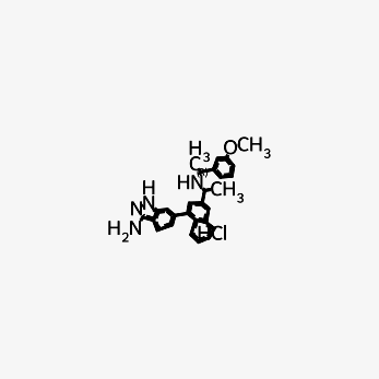 COc1cccc([C@@H](C)NC(C)c2cc(-c3ccc4c(N)n[nH]c4c3)c3ccccc3c2)c1.Cl